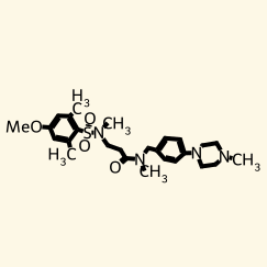 COc1cc(C)c(S(=O)(=O)N(C)CCC(=O)N(C)Cc2ccc(N3CCN(C)CC3)cc2)c(C)c1